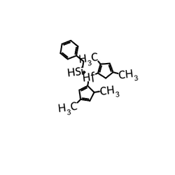 CC1=CC(C)[C]([Hf](=[SiH]Cc2ccccc2)[C]2=C(C)C=C(C)C2)=C1